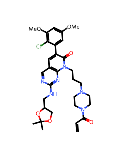 C=CC(=O)N1CCN(CCCn2c(=O)c(-c3cc(OC)cc(OC)c3Cl)cc3cnc(NCC4COC(C)(C)O4)nc32)CC1